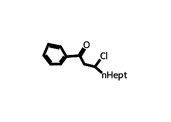 CCCCCCCC(Cl)CC(=O)c1ccccc1